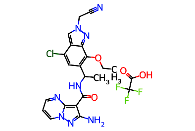 CCOc1c(C(C)NC(=O)c2c(N)nn3cccnc23)cc(Cl)c2cn(CC#N)nc12.O=C(O)C(F)(F)F